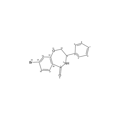 O=C1NC(c2ccccc2)COc2cc(Br)ccc21